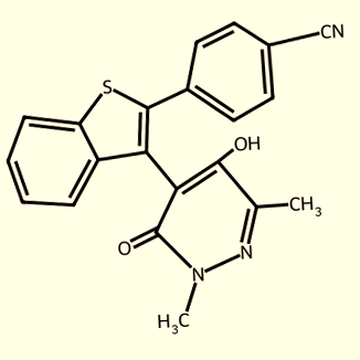 Cc1nn(C)c(=O)c(-c2c(-c3ccc(C#N)cc3)sc3ccccc23)c1O